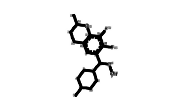 CC1CCC(C(OO)c2cc3c(c(F)c2F)OC(C)CC3)CC1